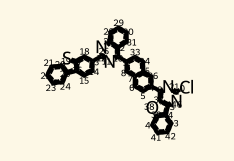 Clc1nc(-c2ccc3cc(-c4nc(-c5ccc6c(c5)sc5ccccc56)nc5ccccc45)ccc3c2)c2oc3ccccc3c2n1